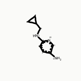 Nc1ccc(NCC2CC2)nc1